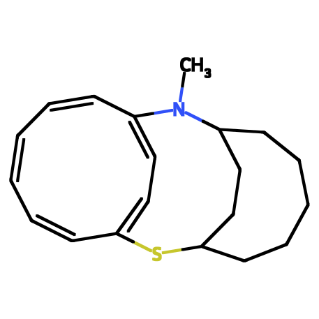 CN1c2ccccccc(cc2)SC2CCCCCC1CC2